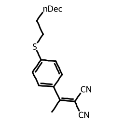 CCCCCCCCCCCCSc1ccc(C(C)=C(C#N)C#N)cc1